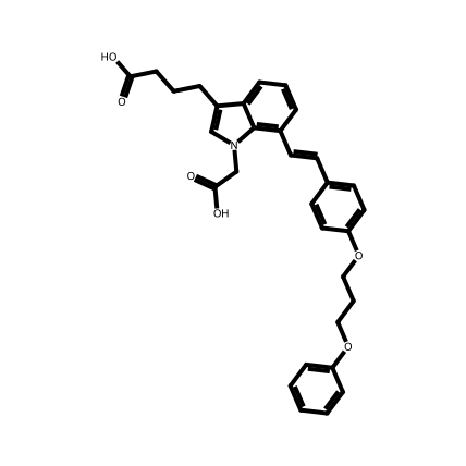 O=C(O)CCCc1cn(CC(=O)O)c2c(/C=C/c3ccc(OCCCOc4ccccc4)cc3)cccc12